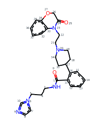 O=C(NCCCn1ccnc1)c1ccccc1C1CCN(CCN2C(=O)COc3ccccc32)CC1